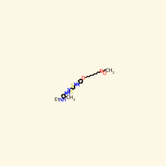 C=CC(=O)OCCCCCCCCCOc1ccc(/N=N/c2cc3sc(/N=N/c4ccc(NCC)cc4C)nc3s2)cc1